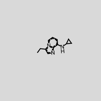 CCc1cnc2c(NC3CC3)cccn12